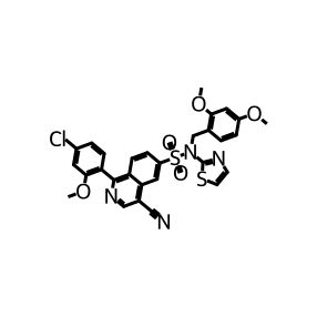 COc1ccc(CN(c2nccs2)S(=O)(=O)c2ccc3c(-c4ccc(Cl)cc4OC)ncc(C#N)c3c2)c(OC)c1